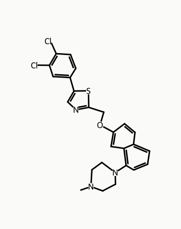 CN1CCN(c2cccc3ccc(OCc4ncc(-c5ccc(Cl)c(Cl)c5)s4)cc23)CC1